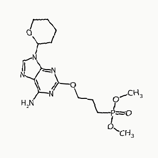 COP(=O)(CCCOc1nc(N)c2ncn(C3CCCCO3)c2n1)OC